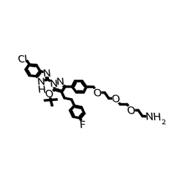 CC(C)(C)Oc1c(CCc2ccc(F)cc2)c(-c2ccc(COCCOCCOCCN)cc2)nn1-c1nc2cc(Cl)ccc2[nH]1